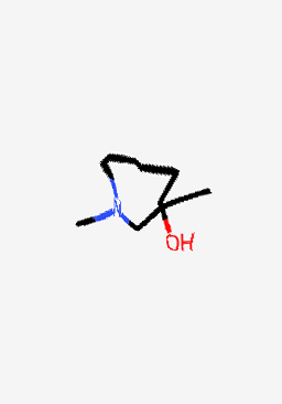 CN1CCCC(C)(O)C1